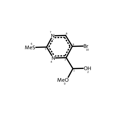 COC(O)c1nc(SC)ncc1Br